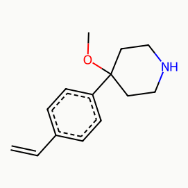 C=Cc1ccc(C2(OC)CCNCC2)cc1